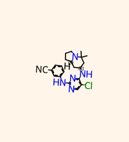 CC1(C)C[C@H](Nc2nc(Nc3cccc(C#N)c3)ncc2Cl)C[C@@H]2CCCN21